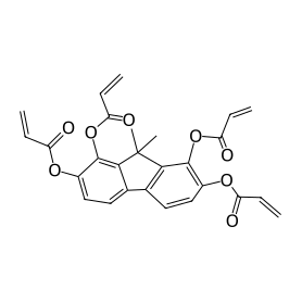 C=CC(=O)Oc1ccc2c(c1OC(=O)C=C)C(C)(C)c1c-2ccc(OC(=O)C=C)c1OC(=O)C=C